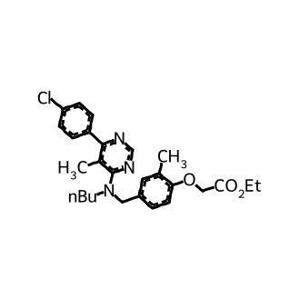 CCCCN(Cc1ccc(OCC(=O)OCC)c(C)c1)c1ncnc(-c2ccc(Cl)cc2)c1C